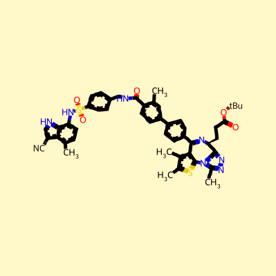 Cc1cc(-c2ccc(C3=N[C@@H](CCC(=O)OC(C)(C)C)c4nnc(C)n4-c4sc(C)c(C)c43)cc2)ccc1C(=O)NCc1ccc(S(=O)(=O)Nc2ccc(C)c3c(C#N)c[nH]c23)cc1